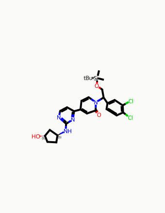 CC(C)(C)[Si](C)(C)OCC(c1ccc(Cl)c(Cl)c1)n1ccc(-c2ccnc(N[C@H]3CC[C@H](O)C3)n2)cc1=O